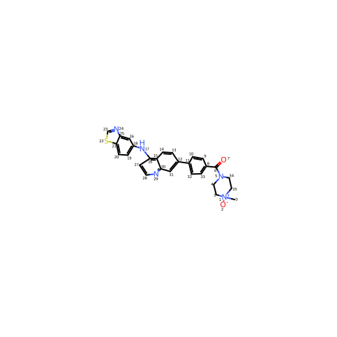 C[N+]1([O-])CCN(C(=O)c2ccc(-c3ccc4c(Nc5ccc6scnc6c5)ccnc4c3)cc2)CC1